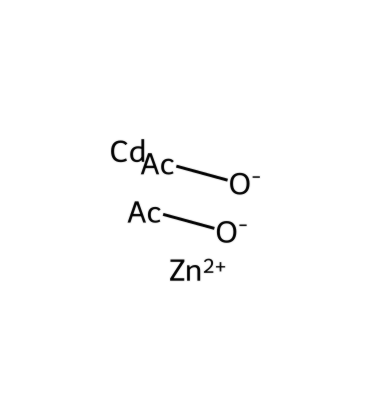 CC(=O)[O-].CC(=O)[O-].[Cd].[Zn+2]